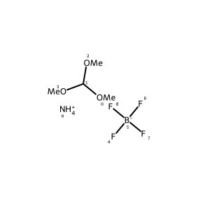 COC(OC)OC.F[B-](F)(F)F.[NH4+]